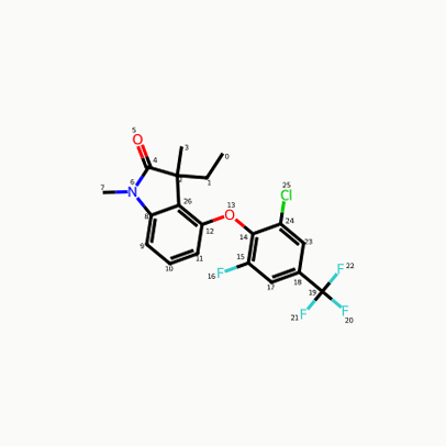 CCC1(C)C(=O)N(C)c2cccc(Oc3c(F)cc(C(F)(F)F)cc3Cl)c21